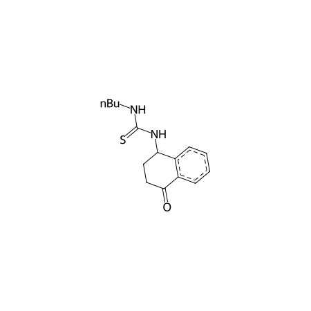 CCCCNC(=S)NC1CCC(=O)c2ccccc21